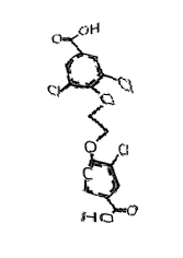 O=C(O)c1ccc(OCCOc2c(Cl)cc(C(=O)O)cc2Cl)c(Cl)c1